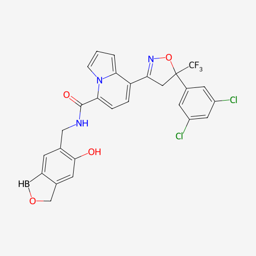 O=C(NCc1cc2c(cc1O)COB2)c1ccc(C2=NOC(c3cc(Cl)cc(Cl)c3)(C(F)(F)F)C2)c2cccn12